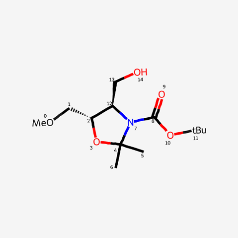 COC[C@H]1OC(C)(C)N(C(=O)OC(C)(C)C)[C@@H]1CO